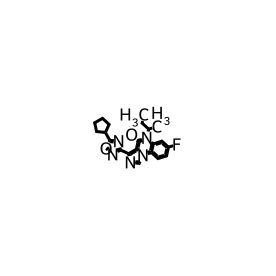 CCC(C)n1c(=O)c2c(-c3noc(C4CCCC4)n3)ncn2c2ccc(F)cc21